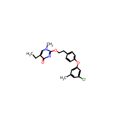 CCc1cn(C)c(OCCc2ccc(Oc3cc(C)cc(Cl)c3)cc2)nc1=O